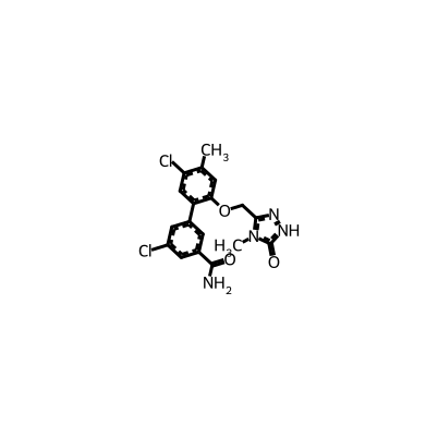 Cc1cc(OCc2n[nH]c(=O)n2C)c(-c2cc(Cl)cc(C(N)=O)c2)cc1Cl